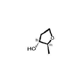 C[C@@H]1OCC[C@H]1O